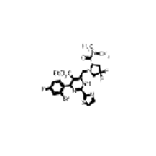 CCOC(=O)C1=C(CN2CC(F)(F)C[C@H]2C(=O)N(C)C)NC(c2nccs2)=NC1c1ccc(F)cc1Br